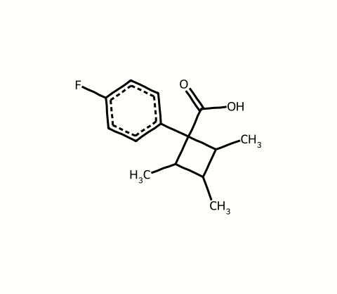 CC1C(C)C(C(=O)O)(c2ccc(F)cc2)C1C